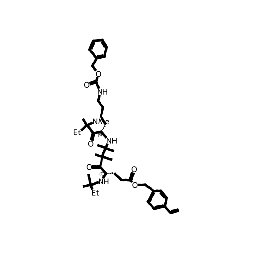 C=Cc1ccc(COC(=O)CC[C@H](NC(C)(C)CC)C(=O)C(C)(C)C(C)(C)N[C@@H](CCCCNC(=O)OCc2ccccc2)C(=O)C(C)(CC)NC)cc1